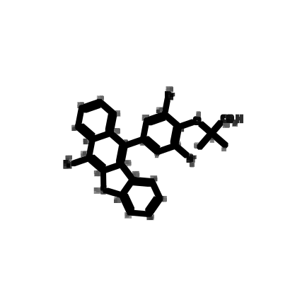 CC(C)(Oc1c(Br)cc(-c2c3ccccc3c(Br)c3sc4ccccc4c23)cc1Br)C(=O)O